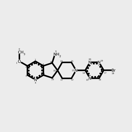 COc1cnc2c(c1)C(N)C1(CCN(c3ncc(Br)nn3)CC1)C2